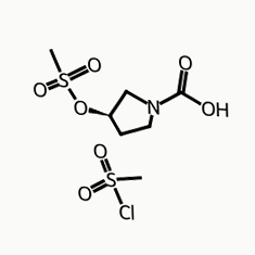 CS(=O)(=O)Cl.CS(=O)(=O)O[C@@H]1CCN(C(=O)O)C1